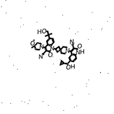 COC1(C)CCN(c2c(C#N)c(=O)n(C3CC4(CCN(c5c(C#N)c(=O)[nH]c6ccc(C(O)C7CC7)cc56)CC4)C3)c3ccc(C(C)(C)CO)cc23)CC1